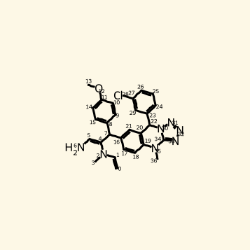 C=CN(C)/C(=C\N)C(c1ccc(OC)cc1)c1ccc2c(c1)C(c1cccc(Cl)c1)n1nnnc1N2C